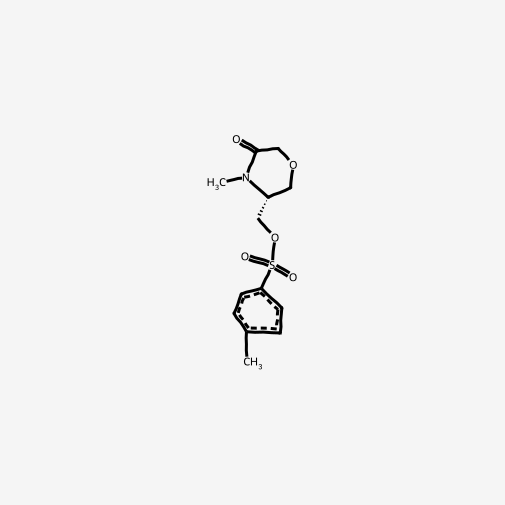 Cc1ccc(S(=O)(=O)OC[C@H]2COCC(=O)N2C)cc1